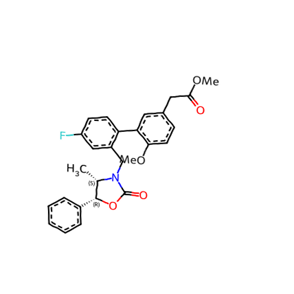 COC(=O)Cc1ccc(OC)c(-c2ccc(F)cc2CN2C(=O)O[C@H](c3ccccc3)[C@@H]2C)c1